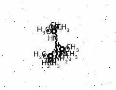 COc1cc(CNCCN(CCN(CCN)Cc2cc(OC)c(OC)c(OC)c2)Cc2cc(OC)c(OC)c(OC)c2)cc(OC)c1OC